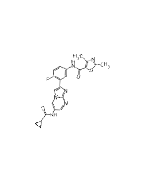 Cc1nc(C)c(C(=O)Nc2ccc(F)c(-c3cn4cc(NC(=O)C5CC5)cnc4n3)c2)o1